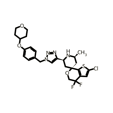 C[C@H]1C[C@@]2(C[C@@H](c3cn(Cc4ccc(OC5CCOCC5)cc4)nn3)N1)OCC(F)(F)c1cc(Cl)sc12